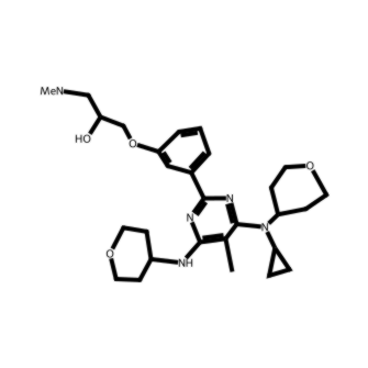 CNCC(O)COc1cccc(-c2nc(NC3CCOCC3)c(C)c(N(C3CCOCC3)C3CC3)n2)c1